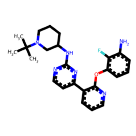 CC(C)(C)N1CCCC(Nc2nccc(-c3cccnc3Oc3cccc(N)c3F)n2)C1